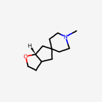 CN1CCC2(CC1)CC1CCO[C@@H]1C2